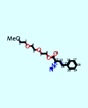 COCCOCCOCCOC(=O)C(/C=C/c1ccccc1)=[N+]=[N-]